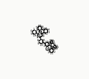 c1ccc(-c2nc(-c3cccc(-c4ccc5c(c4)Oc4ccccc4C54c5ccccc5-c5ccccc54)c3)cc(-c3ccccc3-c3ccccc3)n2)cc1